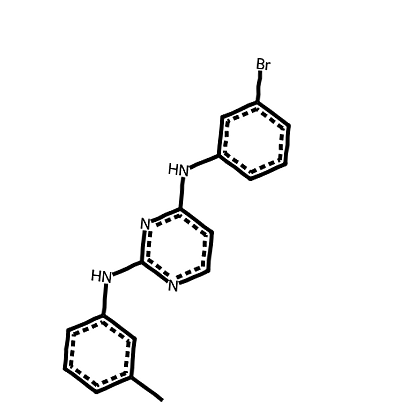 Cc1cccc(Nc2nccc(Nc3cccc(Br)c3)n2)c1